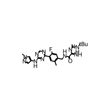 Cc1cc(-c2ncnc(Nc3cnn(C)c3)n2)c(F)cc1CNC(=O)C(=N)/N=N\NC(C)(C)C